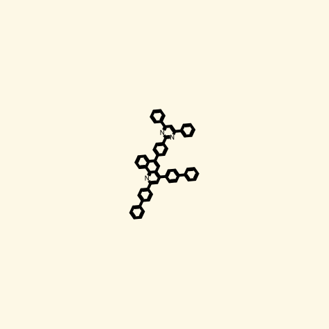 c1ccc(-c2ccc(-c3cc(-c4ccc(-c5ccccc5)cc4)c4cc(-c5ccc(-c6nc(-c7ccccc7)cc(-c7ccccc7)n6)cc5)c5ccccc5c4n3)cc2)cc1